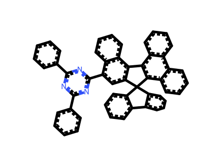 c1ccc(-c2nc(-c3ccccc3)nc(-c3cc4c(c5ccccc35)-c3c(c5ccccc5c5ccccc35)C43c4ccccc4-c4ccccc43)n2)cc1